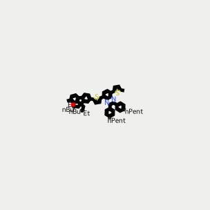 CCCCCc1ccc(-c2nc3c(-c4ccc(C)s4)ccc(-c4ccc(-c5ccc6c(c5)C(CC(CC)CCCC)(CC(CC)CCCC)c5cc(C)ccc5-6)s4)c3nc2-c2ccc(CCCCC)cc2)cc1